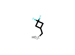 O=C(O)CC1CC(F)(F)C1